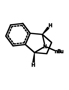 CCCCN1[C@@H]2CC[C@H]1c1ccccc12